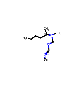 CCCC[C@@H](C)N(C)CN/C=N/C